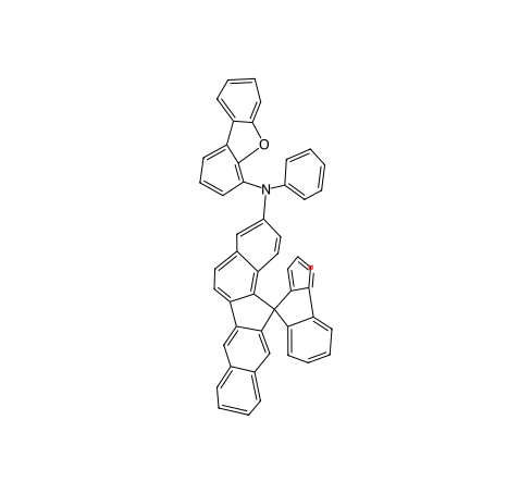 c1ccc(N(c2ccc3c4c(ccc3c2)-c2cc3ccccc3cc2C42c3ccccc3-c3ccccc32)c2cccc3c2oc2ccccc23)cc1